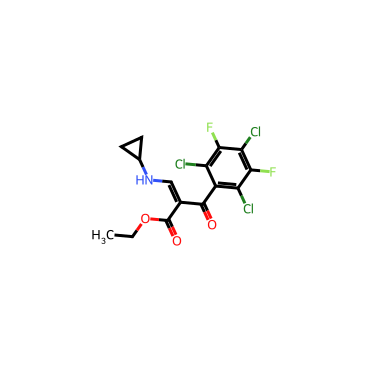 CCOC(=O)C(=CNC1CC1)C(=O)c1c(Cl)c(F)c(Cl)c(F)c1Cl